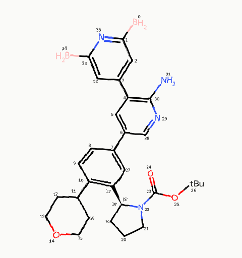 Bc1cc(-c2cc(-c3ccc(C4CCOCC4)c([C@@H]4CCCN4C(=O)OC(C)(C)C)c3)cnc2N)cc(B)n1